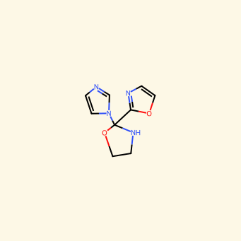 c1cn(C2(c3ncco3)NCCO2)cn1